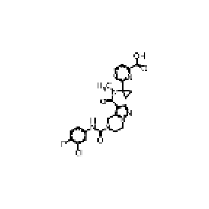 CN(C(=O)c1cnn2c1CN(C(=O)Nc1ccc(F)c(Cl)c1)CC2)C1(c2nccc(C(=O)O)n2)CC1